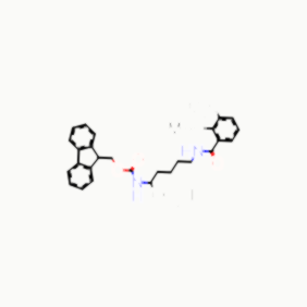 CCOC(=O)c1cccc(C(=O)NCCCCC(NC(=O)OCC2c3ccccc3-c3ccccc32)C(=O)O)c1OC